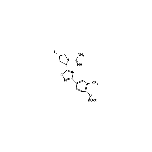 CCCCCCCCOc1ccc(-c2noc([C@@H]3C[C@H](I)CN3C(=N)N)n2)cc1C(F)(F)F